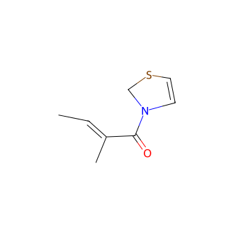 CC=C(C)C(=O)N1C=CSC1